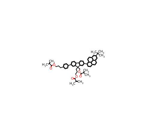 C=C(C)C(=O)OCCCc1ccc(-c2ccc3c(c2)C(CCCOC(=O)C(=C)C)(COC(=O)C(=C)C)c2cc(-c4ccc5ccc6cc(C(C)(C)C)cc7ccc4c5c67)ccc2-3)cc1